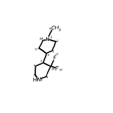 CN1CCC(C2CCNCC2(F)F)CC1